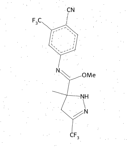 CO/C(=N\c1ccc(C#N)c(C(F)(F)F)c1)C1(C)CC(C(F)(F)F)=NN1